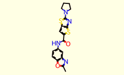 Cc1nc2cc(NC(=O)c3cc4sc(N5CCCC5)nc4s3)ccc2o1